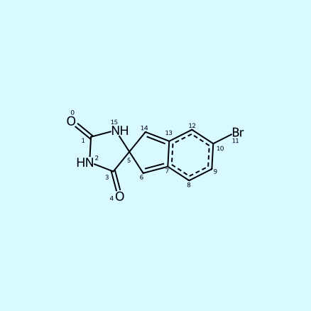 O=C1NC(=O)C2(C=c3ccc(Br)cc3=C2)N1